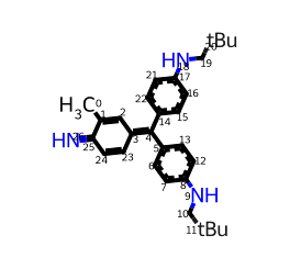 CC1=CC(=C(c2ccc(NCC(C)(C)C)cc2)c2ccc(NCC(C)(C)C)cc2)C=CC1=N